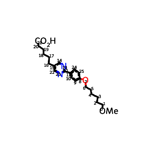 COCCCCCCOc1ccc(-c2ncc(CCCCCC(=O)O)cn2)cc1